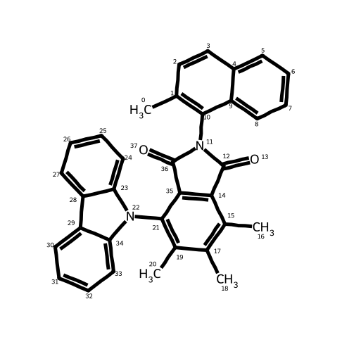 Cc1ccc2ccccc2c1N1C(=O)c2c(C)c(C)c(C)c(-n3c4ccccc4c4ccccc43)c2C1=O